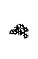 CC=C(Oc1cccc2c1CCCC2)C(=O)On1cc(C(c2ccccc2)c2cccc(Cl)c2)cn1